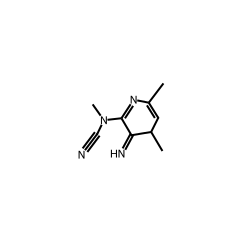 CC1=CC(C)C(=N)C(N(C)C#N)=N1